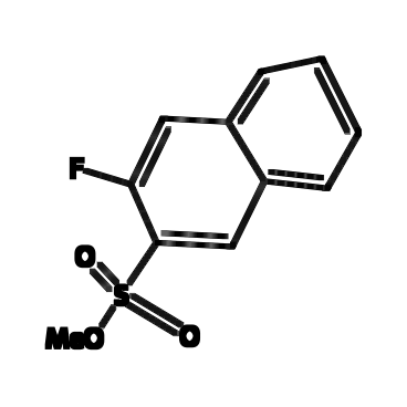 [CH2]OS(=O)(=O)c1cc2ccccc2cc1F